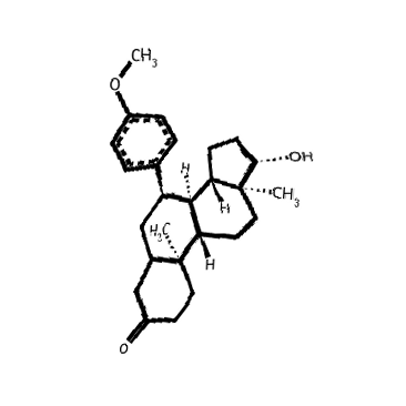 COc1ccc([C@@H]2CC3CC(=O)CC[C@]3(C)[C@H]3CC[C@]4(C)[C@@H](O)CC[C@H]4[C@H]23)cc1